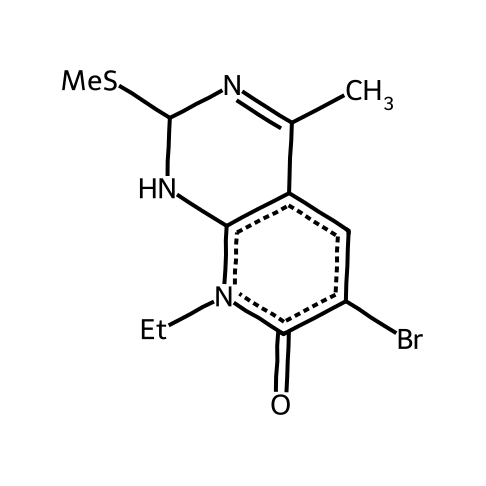 CCn1c2c(cc(Br)c1=O)C(C)=NC(SC)N2